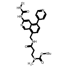 CCNC(=O)Nc1cc2c(-c3ccncc3)ccc(CNC(=O)CCN(C)C(=O)OC(C)(C)C)c2cn1